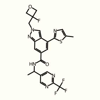 Cc1cnc(-c2cc(C(=O)NC(C)c3cnc(C(F)(F)F)nc3)cc3nn(CC4(F)COC4)cc23)s1